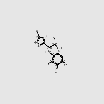 [C-]#[N+]c1ccc(N[C@@H](c2nnc(C)o2)[C@H](C)O)c(C)c1Cl